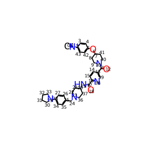 [C-]#[N+]c1ccc(OC2CCN(C(=O)c3ccc(C(=O)NC4CCN(Cc5ccc(N6CCCC6)cc5)CC4)nc3)CC2)cc1